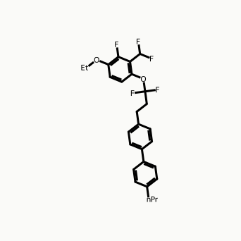 CCCc1ccc(-c2ccc(CCC(F)(F)Oc3ccc(OCC)c(F)c3C(F)F)cc2)cc1